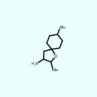 CCCCC1OC2(CCC(C(C)(C)C)CC2)CC1N